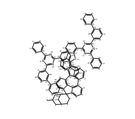 CC1CC2CCC3(c4cccc(-c5cccc(-c6cccc7c6sc6c(-c8nc(-c9ccccc9)nc(-c9cccc(-c%10ccccc%10)c9)n8)cccc67)c5)c4-c4c(-c5cccc6c5sc5c(-c7nc(-c8ccccc8)nc(-c8cccc(-c9ccccc9)c8)n7)cccc56)cccc43)C(C1)C2